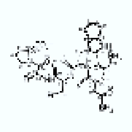 CC(C)C[C@H](NC(=O)[C@H](Cc1c[nH]c2ccccc12)NC(=O)[C@H](CC(N)=O)NC(=O)CN)C(=O)N[C@H](C(=O)N1CCC[C@H]1C(=O)O)C(C)C